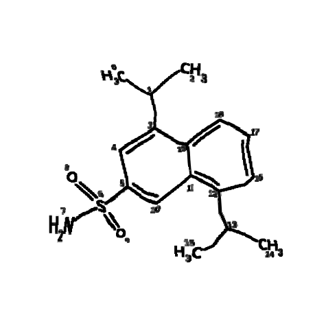 CC(C)c1cc(S(N)(=O)=O)cc2c(C(C)C)cccc12